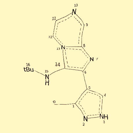 Cc1n[nH]cc1-c1nc2cnccn2c1NC(C)(C)C